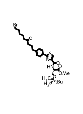 COC(=O)[C@H](CO[Si](C)(C)C(C)(C)C)NC(=O)c1csc(-c2ccc(CCCC(=O)CCCCCBr)cc2)n1